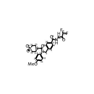 COc1ccc(N(Cc2ccc(C(=O)NNC(=O)C(F)F)cc2)C(=O)N2CCS(=O)(=O)CC2)cc1